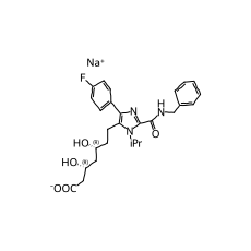 CC(C)n1c(C(=O)NCc2ccccc2)nc(-c2ccc(F)cc2)c1CC[C@@H](O)C[C@@H](O)CC(=O)[O-].[Na+]